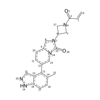 C=CC(=O)N1CC(n2cc3ccc(-c4c(C)ccc5[nH]ncc45)cn3c2=O)C1